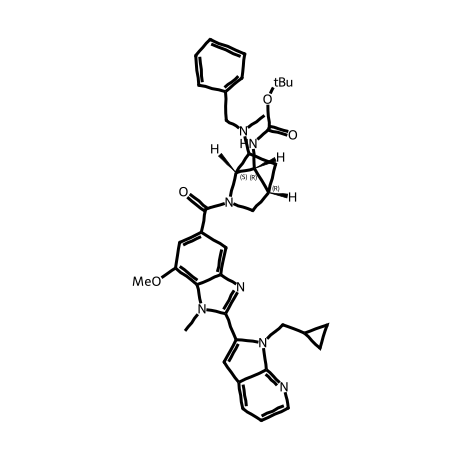 COc1cc(C(=O)N2C[C@H]3CC(N(C)Cc4ccccc4)[C@@H]2[C@@H]3NC(=O)OC(C)(C)C)cc2nc(-c3cc4cccnc4n3CC3CC3)n(C)c12